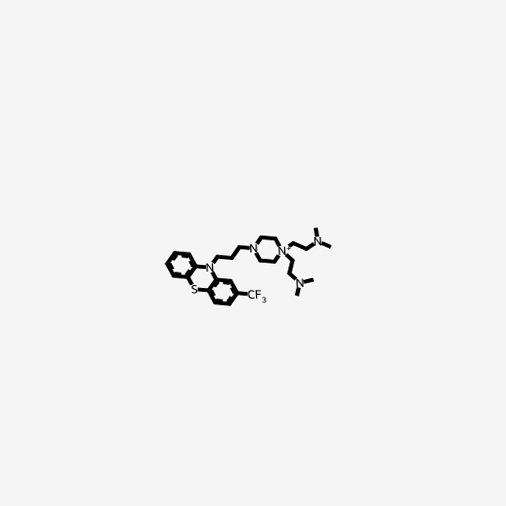 CN(C)CC[N+]1(CCN(C)C)CCN(CCCN2c3ccccc3Sc3ccc(C(F)(F)F)cc32)CC1